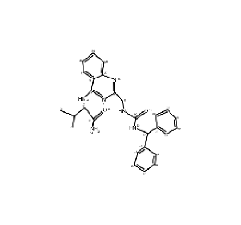 CC(C)[C@H](Nc1nc(CNC(=O)NC(c2ccccc2)c2ccccc2)nc2ccccc12)C(N)=O